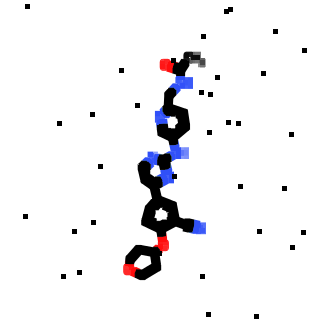 CC(=O)NCc1ccc(Nc2nccc(-c3ccc(OC4CCOCC4)c(C#N)c3)n2)cn1